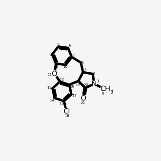 CN1CC2Cc3cccc(c3)Oc3ccc(Cl)cc3C2C1=O